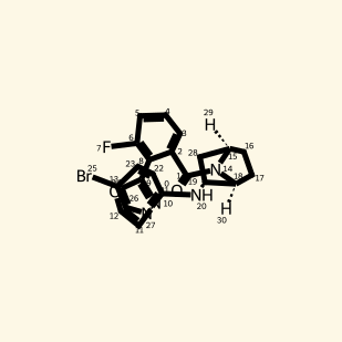 O=C(c1cccc(F)c1-c1ncco1)N1[C@@H]2CC[C@H]1[C@H](Nc1ccc(Br)cn1)C2